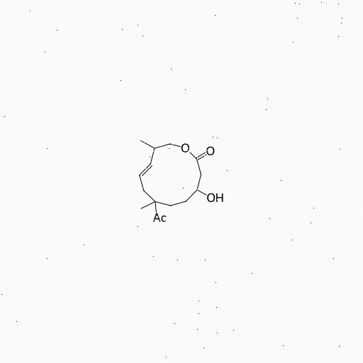 CC(=O)C1(C)C/C=C/C(C)COC(=O)CC(O)CC1